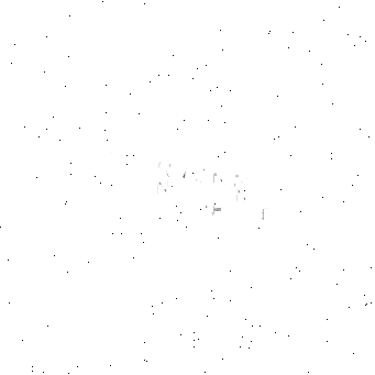 CCCCCC[C@H](C)NC(=O)C12CCC(NCC(=O)N3C[C@@H](F)C[C@H]3C#N)(CC1)CC2